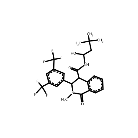 CN1C(=O)c2ccccc2C(C(=O)NC(O)CC(C)(C)C)C1c1cc(C(F)(F)F)cc(C(F)(F)F)c1